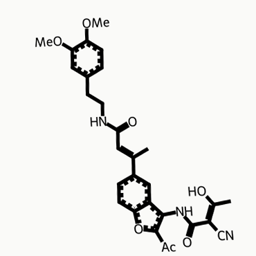 COc1ccc(CCNC(=O)C=C(C)c2ccc3oc(C(C)=O)c(NC(=O)C(C#N)=C(C)O)c3c2)cc1OC